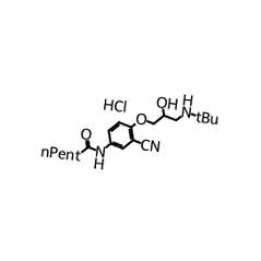 CCCCCC(=O)Nc1ccc(OCC(O)CNC(C)(C)C)c(C#N)c1.Cl